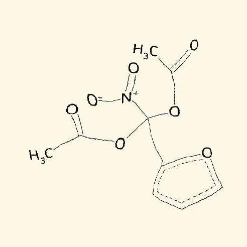 CC(=O)OC(OC(C)=O)(c1ccco1)[N+](=O)[O-]